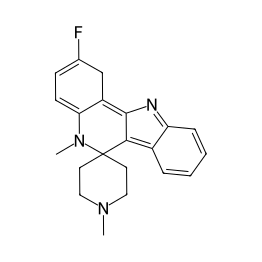 CN1CCC2(CC1)C1=c3ccccc3=NC1=C1CC(F)=CC=C1N2C